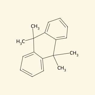 CC1(C)c2ccccc2C(C)(C)c2ccccc21